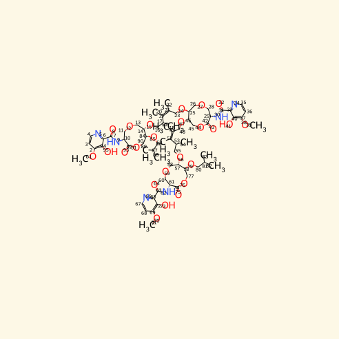 COc1ccnc(C(=O)N[C@H]2COC[C@H](OCC(C)/C(C)=C(/C)CO[C@H]3COC[C@@H](NC(=O)c4nccc(OC)c4O)C(=O)OC[C@@H]3OC/C(C)=C(/C)C(C)CO[C@H]3COC[C@@H](NC(=O)c4nccc(OC)c4O)C(=O)OC[C@@H]3OCC(C)C)[C@@H](OCC(C)C)COC2=O)c1O